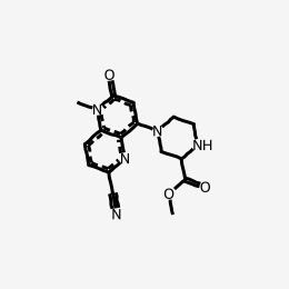 COC(=O)C1CN(c2cc(=O)n(C)c3ccc(C#N)nc23)CCN1